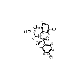 C[C@H](CO)N(c1cc(Cl)ccc1Cl)S(=O)(=O)c1ccc(Cl)cc1